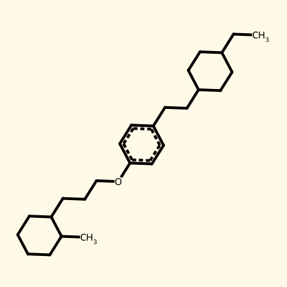 CCC1CCC(CCc2ccc(OCCCC3CCCCC3C)cc2)CC1